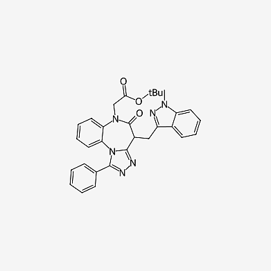 Cn1nc(CC2C(=O)N(CC(=O)OC(C)(C)C)c3ccccc3-n3c(-c4ccccc4)nnc32)c2ccccc21